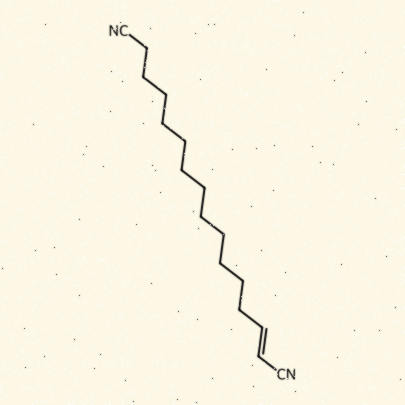 N#CC=CCCCCCCCCCCCCC#N